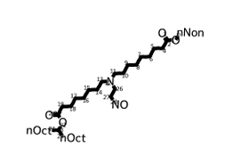 CCCCCCCCCOC(=O)CCCCCCCCN(CCCCCCCC(=O)OC(CCCCCCCC)CCCCCCCC)CCN=O